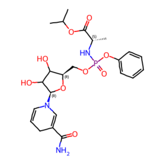 CC(C)OC(=O)[C@H](C)NP(=O)(OC[C@H]1O[C@@H](N2C=CCC(C(N)=O)=C2)C(O)C1O)Oc1ccccc1